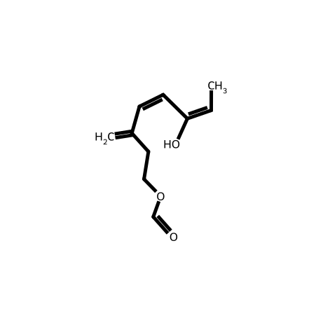 C=C(/C=C\C(O)=C/C)CCOC=O